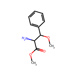 COC(=O)C(N)C(OC)c1ccccc1